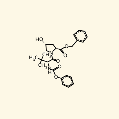 CC(C)(C)[C@H](NC(=O)Oc1ccccc1)C(=O)N1C[C@H](O)C[C@H]1C(=O)OCc1ccccc1